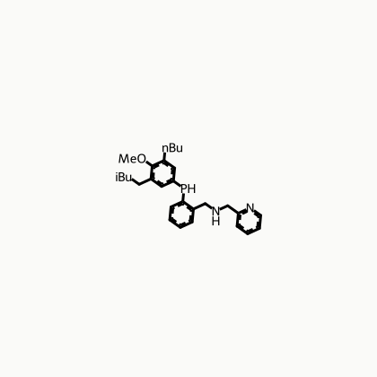 CCCCc1cc(Pc2ccccc2CNCc2ccccn2)cc(CC(C)CC)c1OC